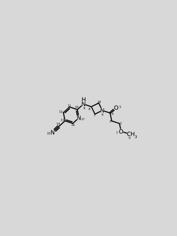 COCCC(=O)N1CC(Nc2ccc(C#N)cn2)C1